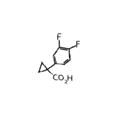 O=C(O)C1(c2ccc(F)c(F)c2)CC1